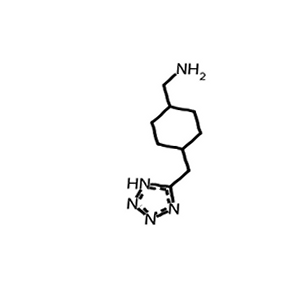 NCC1CCC(Cc2nnn[nH]2)CC1